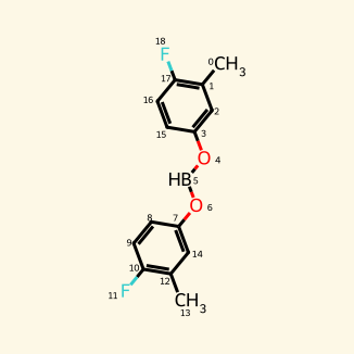 Cc1cc(OBOc2ccc(F)c(C)c2)ccc1F